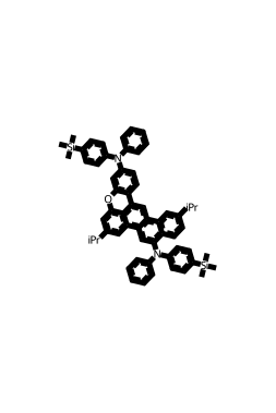 CC(C)c1ccc2c(N(c3ccccc3)c3ccc([Si](C)(C)C)cc3)cc3c4cc(C(C)C)cc5c4c(cc3c2c1)-c1ccc(N(c2ccccc2)c2ccc([Si](C)(C)C)cc2)cc1O5